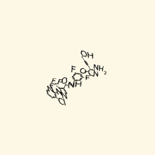 Nc1nccc(Oc2c(F)cc(NC(=O)c3cnn(-c4ncccc4Cl)c3C(F)(F)F)cc2F)c1C#CCO